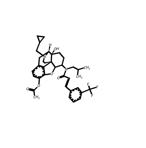 CC(=O)Oc1ccc2c3c1OC1C(N(CC(C)C)C(=O)/C=C/c4cccc(C(F)(F)F)c4)CC[C@@]4(O)[C@@H](C2)N(CC2CC2)CC[C@]314